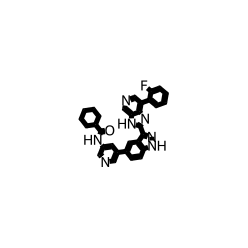 O=C(Nc1cncc(-c2ccc3[nH]nc(-c4nc5c(-c6ccccc6F)cncc5[nH]4)c3c2)c1)C1CCCCC1